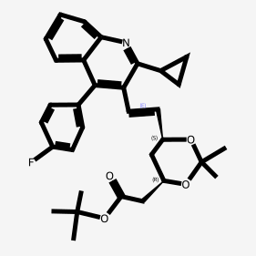 CC(C)(C)OC(=O)C[C@H]1C[C@@H](/C=C/c2c(C3CC3)nc3ccccc3c2-c2ccc(F)cc2)OC(C)(C)O1